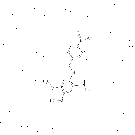 COc1cc(NCc2ccc([N+](=O)[O-])cc2)c(C(=O)O)cc1OC